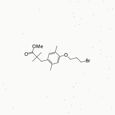 COC(=O)C(C)(C)Cc1cc(C)c(OCCCBr)cc1C